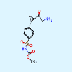 CC(C)(C)OC(=O)NS(=O)(=O)c1ccc([C@@H]2C[C@H]2C(=O)CN)cc1